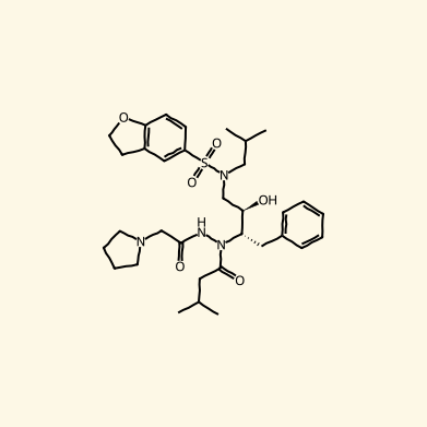 CC(C)CC(=O)N(NC(=O)CN1CCCC1)[C@@H](Cc1ccccc1)[C@H](O)CN(CC(C)C)S(=O)(=O)c1ccc2c(c1)CCO2